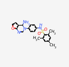 Cc1cc(C)c(S(=O)(=O)Nc2ccc(N3C=Nc4occc4C3N)cc2)c(C)c1